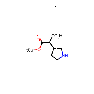 CC(C)(C)OC(=O)C(C(=O)O)C1CCNC1